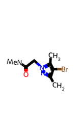 CNC(=O)Cn1nc(C)c(Br)c1C